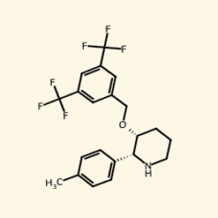 Cc1ccc([C@H]2NCCC[C@H]2OCc2cc(C(F)(F)F)cc(C(F)(F)F)c2)cc1